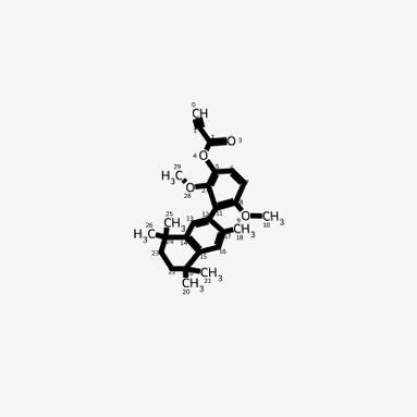 C#CC(=O)Oc1ccc(OC)c(-c2cc3c(cc2C)C(C)(C)CCC3(C)C)c1OC